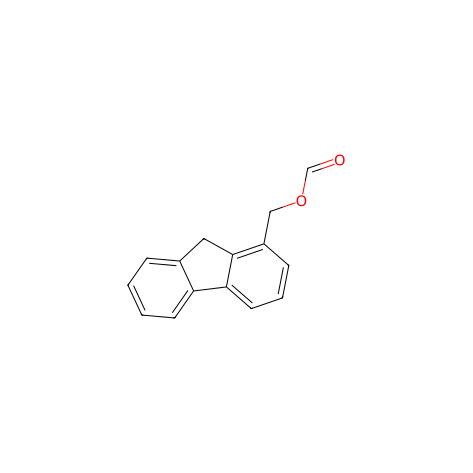 O=COCc1cccc2c1Cc1ccccc1-2